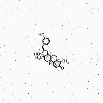 CN1C(=O)C=C[C@]2(C)[C@H]3CC[C@]4(C)[C@@H](O)C(=Cc5cccc(O)c5)C[C@H]4[C@@H]3CC[C@@H]12